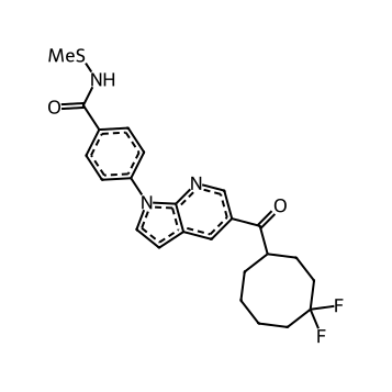 CSNC(=O)c1ccc(-n2ccc3cc(C(=O)C4CCCCC(F)(F)CC4)cnc32)cc1